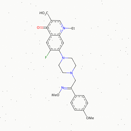 CCn1cc(C(=O)O)c(=O)c2cc(F)c(N3CCN(CC(=NOC)c4ccc(OC)cc4)CC3)cc21